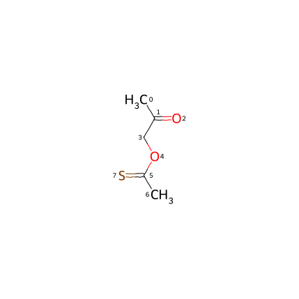 CC(=O)COC(C)=S